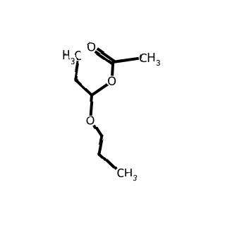 CCCOC(CC)OC(C)=O